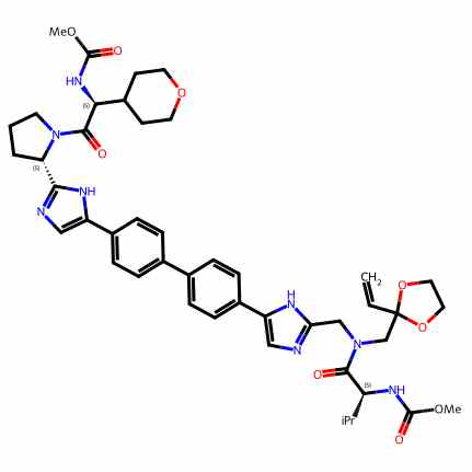 C=CC1(CN(Cc2ncc(-c3ccc(-c4ccc(-c5cnc([C@@H]6CCCN6C(=O)[C@@H](NC(=O)OC)C6CCOCC6)[nH]5)cc4)cc3)[nH]2)C(=O)[C@@H](NC(=O)OC)C(C)C)OCCO1